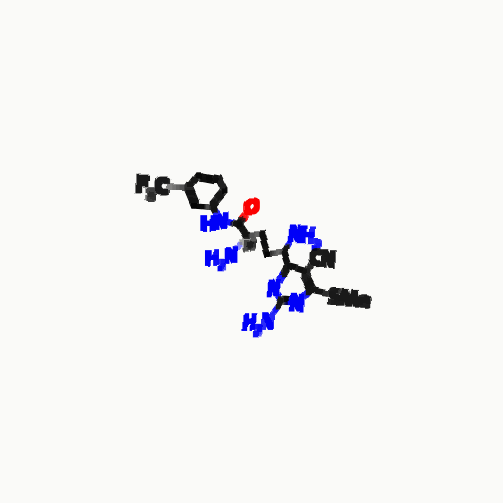 CSc1nc(N)nc(C(N)CC[C@H](N)C(=O)Nc2cccc(C(F)(F)F)c2)c1C#N